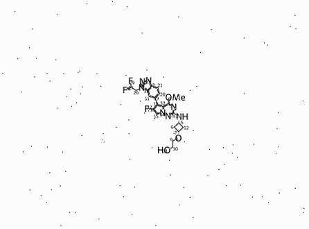 COc1nc(N[C@H]2C[C@@H](OCCO)C2)nn2cc(F)c(-c3ccc4nnn(CC(F)F)c4c3)c12